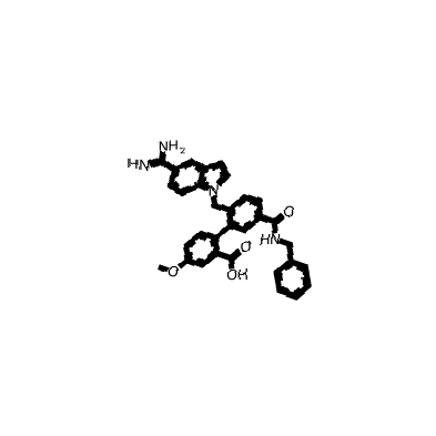 COc1ccc(-c2cc(C(=O)NCc3ccccc3)ccc2Cn2ccc3cc(C(=N)N)ccc32)c(C(=O)O)c1